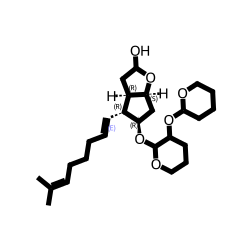 CC(C)=CCCC/C=C/[C@@H]1[C@H]2CC(O)O[C@H]2C[C@H]1OC1OCCCC1OC1CCCCO1